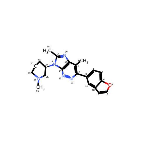 Cc1c(-c2ccc3occc3c2)nnc2c1nc(C)n2[C@@H]1CCCN(C)C1